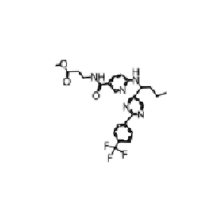 CCCC(Nc1ccc(C(=O)NCCC(=O)OC)cn1)c1cnc(-c2ccc(C(F)(F)F)cc2)nc1